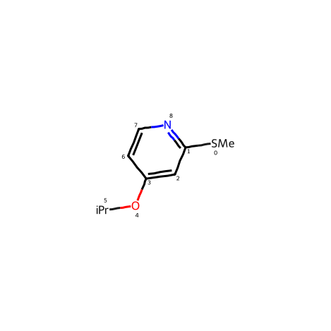 CSc1cc(OC(C)C)ccn1